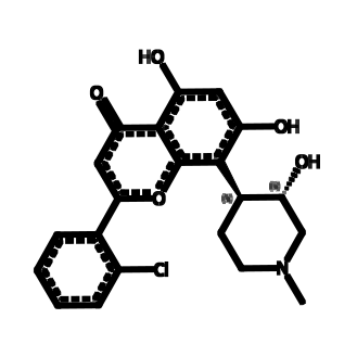 CN1CC[C@@H](c2c(O)cc(O)c3c(=O)cc(-c4ccccc4Cl)oc23)[C@H](O)C1